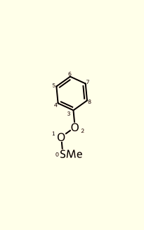 CSOOc1ccccc1